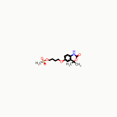 CC1(C)OC(=O)Nc2ccc(OCCCCOS(C)(=O)=O)cc21